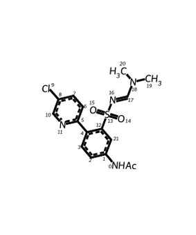 CC(=O)Nc1ccc(-c2ccc(Cl)cn2)c(S(=O)(=O)/N=C/N(C)C)c1